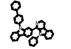 c1ccc(-c2ccc(-n3c4ccccc4c4ccc(-c5nccc6c7ccccc7n(-c7ccccc7)c56)cc43)cc2)cc1